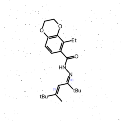 CCc1c(C(=O)N/N=C(\C=C(/C)C(C)(C)C)C(C)(C)C)ccc2c1OCCO2